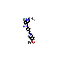 Cc1ccc2c(C(=O)N[C@H]3CC[C@H](CCN4CCc5ccc(C(=O)C(C)C)cc5CC4)CC3)ccc(Cl)c2n1